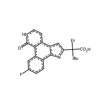 CCC(C)C(CC)(C(=O)O)c1cn2c3cc[nH]c(=O)c3c3cc(F)ccc3c2n1